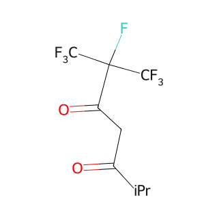 CC(C)C(=O)CC(=O)C(F)(C(F)(F)F)C(F)(F)F